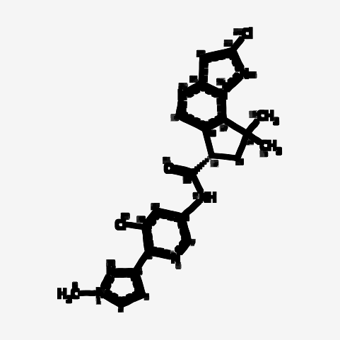 Cn1ccc(-c2ncc(NC(=O)[C@H]3CC(C)(C)c4c3cnc3cc(Cl)nn43)cc2Cl)n1